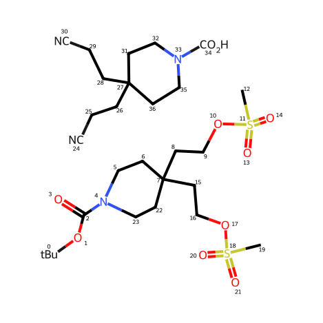 CC(C)(C)OC(=O)N1CCC(CCOS(C)(=O)=O)(CCOS(C)(=O)=O)CC1.N#CCCC1(CCC#N)CCN(C(=O)O)CC1